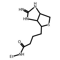 CCNC(=O)CCCC1SCC2NC(=N)NC21